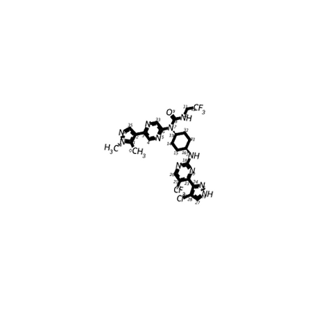 Cc1c(-c2cnc(N(C(=O)NCC(F)(F)F)[C@H]3CC[C@H](Nc4ncc(C(F)(F)F)c(-c5n[nH]cc5Cl)n4)CC3)cn2)cnn1C